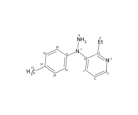 CCc1ncccc1N(N)c1ccc(C)cc1